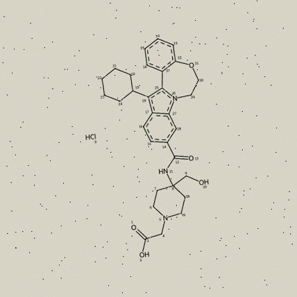 Cl.O=C(O)CN1CCC(CO)(NC(=O)c2ccc3c(C4CCCCC4)c4n(c3c2)CCOc2ccccc2-4)CC1